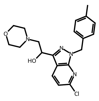 Cc1ccc(Cn2nc(C(O)CN3CCOCC3)c3ccc(Cl)nc32)cc1